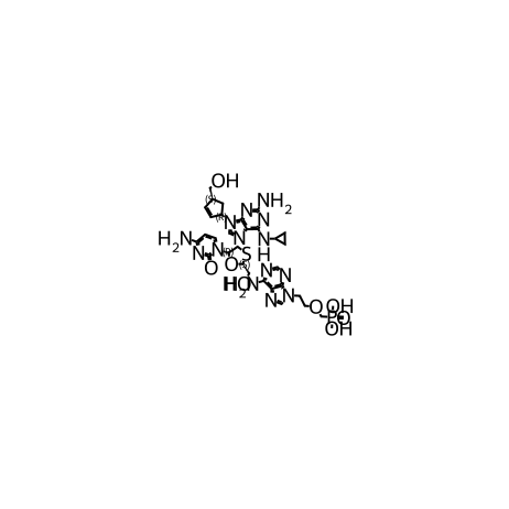 Nc1ccn([C@H]2CS[C@@H](CO)O2)c(=O)n1.Nc1nc(NC2CC2)c2ncn([C@H]3C=C[C@@H](CO)C3)c2n1.Nc1ncnc2c1ncn2CCOCP(=O)(O)O